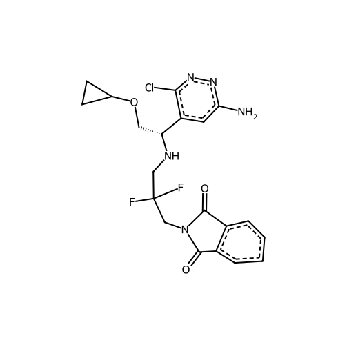 Nc1cc([C@@H](COC2CC2)NCC(F)(F)CN2C(=O)c3ccccc3C2=O)c(Cl)nn1